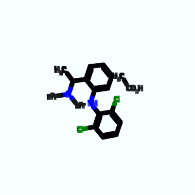 CC(=O)O.CCCN(CCC)C(C)c1ccccc1Nc1c(Cl)cccc1Cl